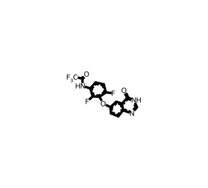 O=C(Nc1ccc(F)c(Oc2ccc3nc[nH]c(=O)c3c2)c1F)C(F)(F)F